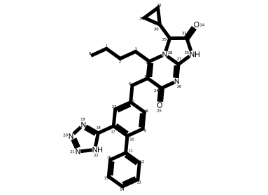 CCCCc1c(Cc2ccc(-c3ccccc3)c(-c3nnn[nH]3)c2)c(=O)nc2n1C(C1CC1)C(=O)N2